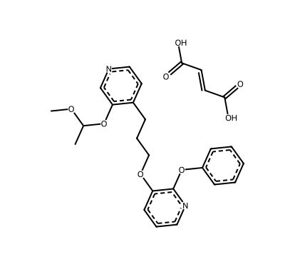 COC(C)Oc1cnccc1CCCOc1cccnc1Oc1ccccc1.O=C(O)/C=C/C(=O)O